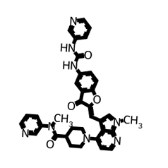 CN(C(=O)C1CCN(c2ccnc3c2c(/C=C2\Oc4ccc(NC(=O)Nc5cccnc5)cc4C2=O)cn3C)CC1)c1cccnc1